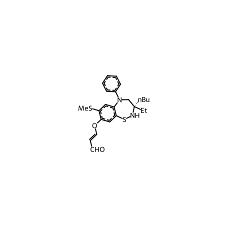 CCCC[C@@]1(CC)CN(c2ccccc2)c2cc(SC)c(O/C=C/C=O)cc2SN1